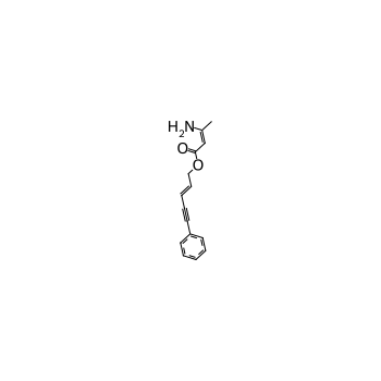 C/C(N)=C/C(=O)OC/C=C/C#Cc1ccccc1